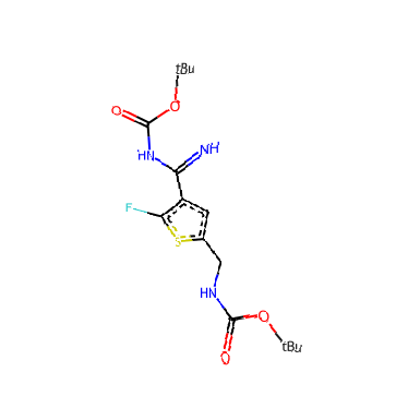 CC(C)(C)OC(=O)NCc1cc(C(=N)NC(=O)OC(C)(C)C)c(F)s1